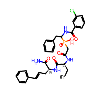 CC(C)C[C@H](NC(=O)CP(=O)(O)C(Cc1ccccc1)NC(=O)c1cccc(Cl)c1)C(=O)N[C@@H](CC=Cc1ccccc1)C(N)=O